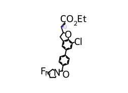 CCOC(=O)/C=C/C1Cc2cc(-c3ccc(C(=O)N4CC[C@@H](F)C4)cc3)cc(Cl)c2O1